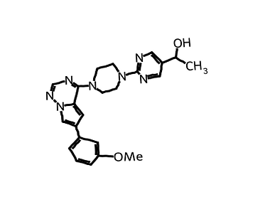 COc1cccc(-c2cc3c(N4CCN(c5ncc(C(C)O)cn5)CC4)ncnn3c2)c1